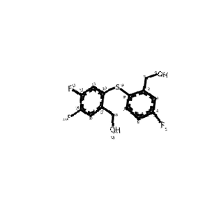 OCc1cc(F)ccc1Sc1cc(F)c(F)cc1CO